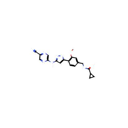 COc1cc(CNC(=O)C2CC2)ccc1-c1cc(Nc2cnc(C#N)cn2)n[nH]1